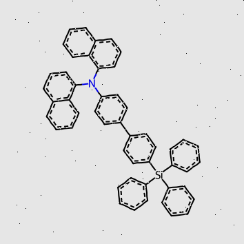 c1ccc([Si](c2ccccc2)(c2ccccc2)c2ccc(-c3ccc(N(c4cccc5ccccc45)c4cccc5ccccc45)cc3)cc2)cc1